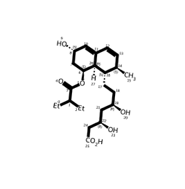 CCC(CC)C(=O)O[C@H]1C[C@H](O)C=C2C=C[C@@H](C)[C@H](CC[C@@H](O)C[C@@H](O)CC(=O)O)[C@H]21